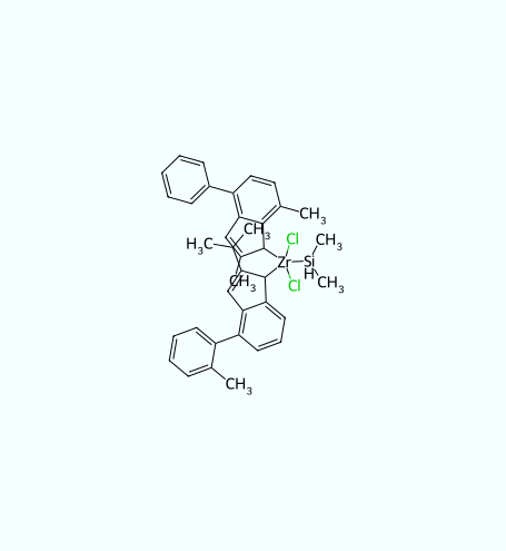 CC1=Cc2c(-c3ccccc3)ccc(C)c2[CH]1[Zr]([Cl])([Cl])([CH]1C(C(C)C)=Cc2c(-c3ccccc3C)cccc21)[SiH](C)C